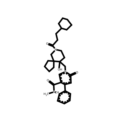 CN(C)C(=O)c1cn(CC2(O)CCN(C(=O)CCC3CCCCC3)CC23CCCC3)c(=O)cc1-c1ccccc1